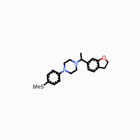 CSc1ccc(N2CCN(C(C)c3ccc4c(c3)OCC4)CC2)cc1